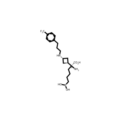 N[C@](CCCCB(O)O)(C(=O)O)[C@H]1C[C@H](NCCCc2ccc(C(F)(F)F)cc2)C1